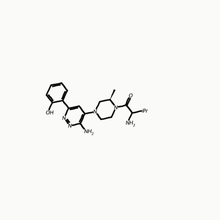 CC(C)C(N)C(=O)N1CCN(c2cc(-c3ccccc3O)nnc2N)C[C@H]1C